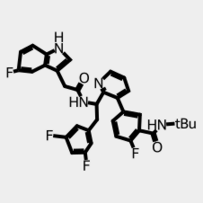 CC(C)(C)NC(=O)c1cc(-c2cccnc2C(Cc2cc(F)cc(F)c2)NC(=O)Cc2c[nH]c3ccc(F)cc23)ccc1F